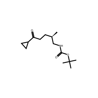 C[C@H](CCC(=O)C1CC1)CNC(=O)OC(C)(C)C